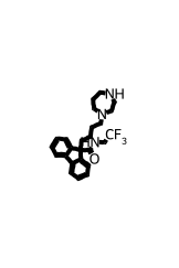 O=C(NCC(F)(F)F)C1(CCCCN2CCCNCC2)c2ccccc2-c2ccccc21